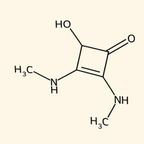 CNC1=C(NC)C(O)C1=O